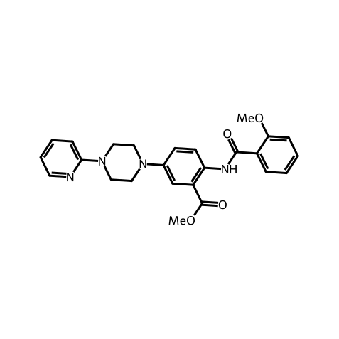 COC(=O)c1cc(N2CCN(c3ccccn3)CC2)ccc1NC(=O)c1ccccc1OC